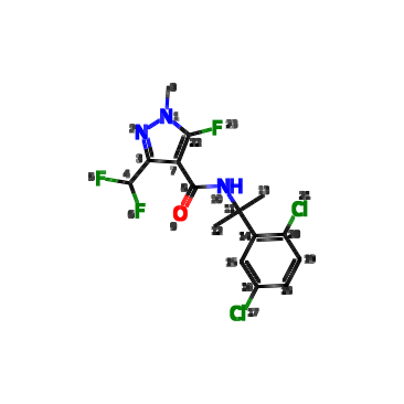 Cn1nc(C(F)F)c(C(=O)NC(C)(C)c2cc(Cl)ccc2Cl)c1F